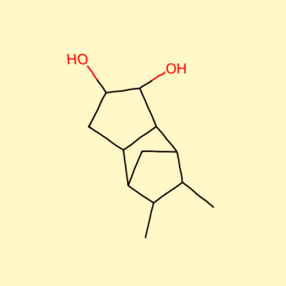 CC1C(C)C2CC1C1CC(O)C(O)C21